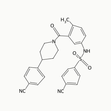 Cc1ccc(NS(=O)(=O)c2ccc(C#N)cc2)cc1C(=O)N1CCC(c2ccc(C#N)cc2)CC1